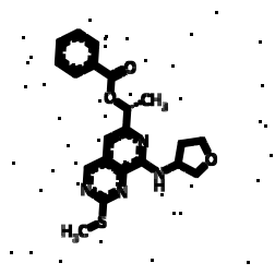 CSc1ncc2cc([C@@H](C)OC(=O)c3ccccc3)nc(NC3CCOC3)c2n1